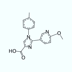 COc1ccc(-c2nc(C(=O)O)cn2-c2ccc(C)cc2)cn1